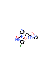 O=C1Nc2cc(Cl)ccc2C(=O)N(C[C@H]2CC[C@H](C(=O)Nc3ccccn3)CC2)[C@@H]1Cc1cccnc1